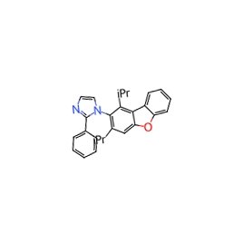 CC(C)c1cc2oc3ccccc3c2c(C(C)C)c1-n1ccnc1-c1ccccc1